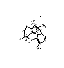 CN1CC[C@]23c4c5ccc(O)c4O[C@H]2[C@@H](O)C=C[C@@]3(O)[C@H]1C5